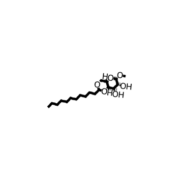 CCCCCCCCCCCC1OC[C@H]2O[C@@H](OC)[C@H](O)[C@@H](O)[C@@H]2O1